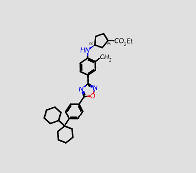 CCOC(=O)[C@@H]1CC[C@H](Nc2ccc(-c3noc(-c4ccc(C5(C6CCCCC6)CCCCC5)cc4)n3)cc2C)C1